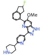 COc1cc2[nH]nc(-c3ccc(C4CCNCC4)nc3)c2nc1-c1cccc2c1CC(F)C2